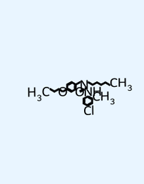 CCCCCCCN(Cc1ccc(OCCCC)cc1)C(=O)Nc1ccc(Cl)cc1C